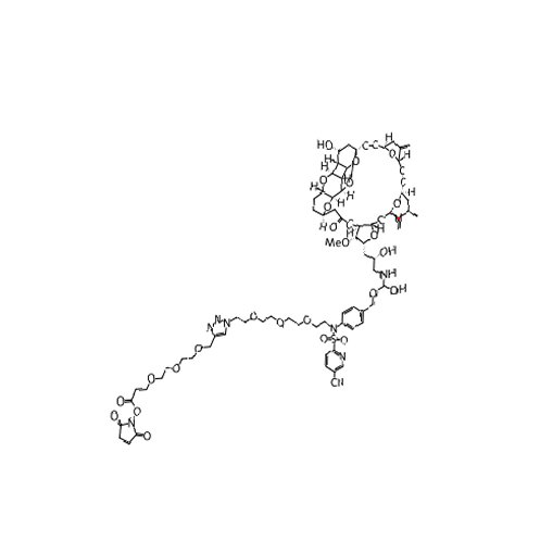 C=C1C[C@@H]2CC[C@]34C[C@@H](O)[C@@H]5C(O3)[C@@H]3[C@H]5O[C@H]5CC[C@H](CC(=O)C[C@@H]6[C@@H](OC)[C@@H](C[C@H](O)CNC(O)OCc7ccc(N(CCOCCOCCOCCn8cc(COCCOCCOCCC(=O)ON9C(=O)CCC9=O)nn8)S(=O)(=O)c8ccc(C#N)cn8)cc7)O[C@H]6C[C@H]6O[C@@H](CC[C@@H]1O2)C[C@@H](C)C6=C)O[C@@H]5[C@@H]3O4